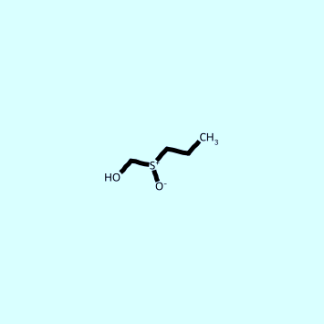 CCC[S+]([O-])CO